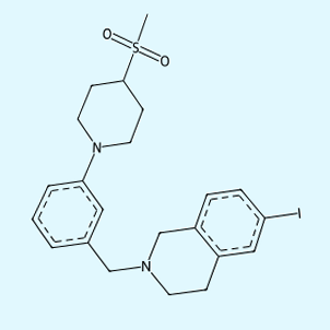 CS(=O)(=O)C1CCN(c2cccc(CN3CCc4cc(I)ccc4C3)c2)CC1